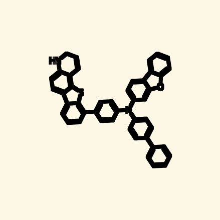 C1=Cc2c(ccc3c2sc2c(-c4ccc(N(c5ccc(-c6ccccc6)cc5)c5ccc6c(c5)oc5ccccc56)cc4)cccc23)NC1